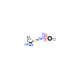 Cc1[nH]cnc1CSCCN=CNS(=O)(=O)c1ccc(Cl)cc1